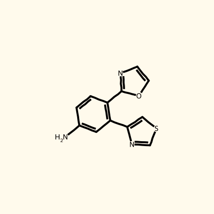 Nc1ccc(-c2ncco2)c(-c2cscn2)c1